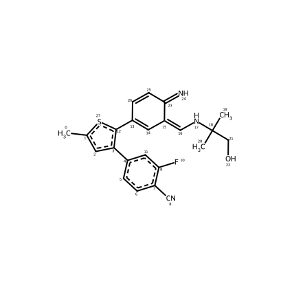 Cc1cc(-c2ccc(C#N)c(F)c2)c(C2=C/C(=C/NC(C)(C)CO)C(=N)C=C2)s1